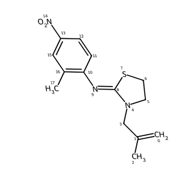 C=C(C)CN1CCS/C1=N\c1ccc([N+](=O)[O-])cc1C